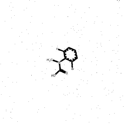 CN(C(=O)O)c1c(F)cccc1Br